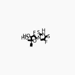 C#C[C@]1(CO)O[C@@H](n2cc(F)c(=S)[nH]c2=S)[C@@H](F)C1O